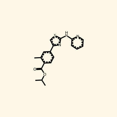 Cc1cc(-c2csc(Nc3ccccn3)n2)ccc1C(=O)OC(C)C